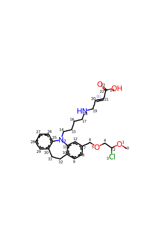 COC(Cl)COCc1ccc2c(c1)N(CCCCNC/C=C/C(=O)O)c1ccccc1CC2